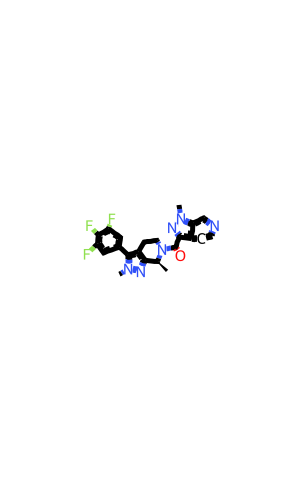 C[C@H]1c2nn(C)c(-c3cc(F)c(F)c(F)c3)c2CCN1C(=O)c1nn(C)c2cnccc12